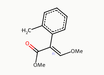 [CH2]c1ccccc1/C(=C\OC)C(=O)OC